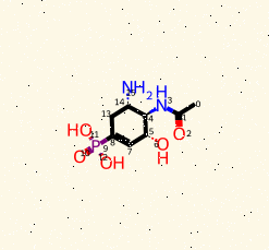 CC(=O)N[C@H]1[C@H](O)C=C(P(=O)(O)O)C[C@@H]1N